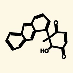 CC1(c2cccc3cc4ccccc4cc23)C(=O)C=CC(=O)C1O